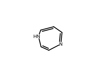 C1=CNC=CN=C1